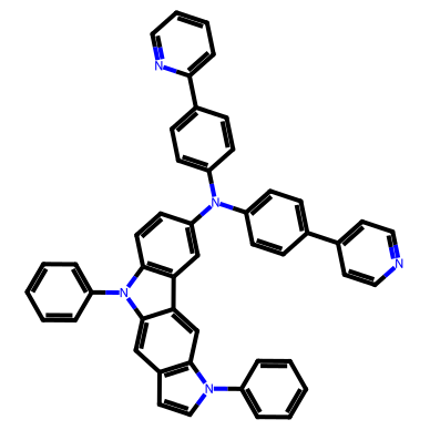 c1ccc(-n2ccc3cc4c(cc32)c2cc(N(c3ccc(-c5ccncc5)cc3)c3ccc(-c5ccccn5)cc3)ccc2n4-c2ccccc2)cc1